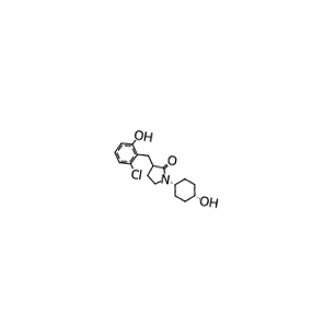 O=C1C(Cc2c(O)cccc2Cl)CCN1[C@H]1CC[C@@H](O)CC1